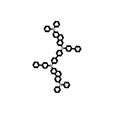 c1ccc(-c2ccc(N(c3ccc(-c4ccc(N(c5ccc(-c6ccccc6)cc5)c5ccc6c(ccc7cc(N(c8ccccc8)c8ccccc8)ccc76)c5)cc4)cc3)c3ccc4c(ccc5cc(N(c6ccccc6)c6ccccc6)ccc54)c3)cc2)cc1